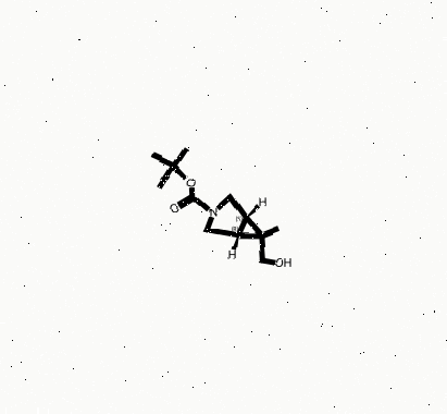 CC(C)(C)OC(=O)N1C[C@@H]2[C@H](C1)C2(C)CO